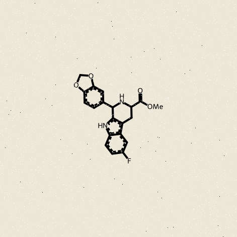 COC(=O)C1Cc2c([nH]c3ccc(F)cc23)C(c2ccc3c(c2)OCO3)N1